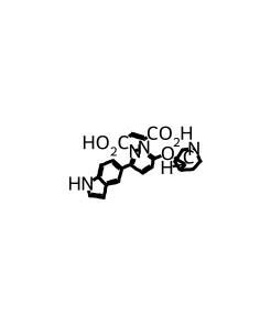 O=C(O)C=CC(=O)O.c1cc2cc(-c3ccc(O[C@@H]4CN5CCC4CC5)nn3)ccc2[nH]1